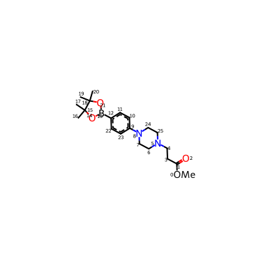 COC(=O)CCN1CCN(c2ccc(B3OC(C)(C)C(C)(C)O3)cc2)CC1